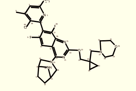 Cc1cc(N)nc(-c2c(F)cc3c(N4CC5CCC(C4)N5)nc(OCC4(CN5CCOCC5)CC4)nc3c2F)c1Cl